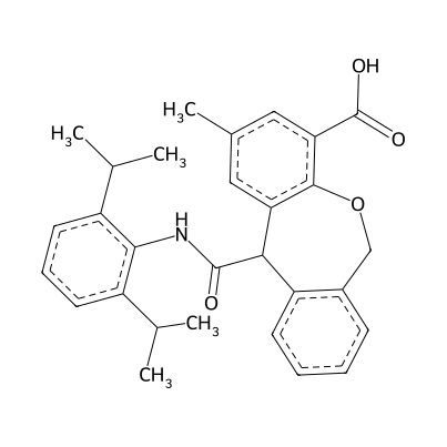 Cc1cc(C(=O)O)c2c(c1)C(C(=O)Nc1c(C(C)C)cccc1C(C)C)c1ccccc1CO2